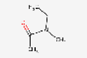 C[CH2][Al]([CH3])[C](C)=O